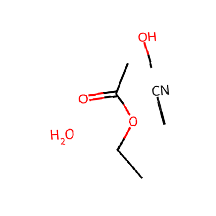 CC#N.CCOC(C)=O.CO.O